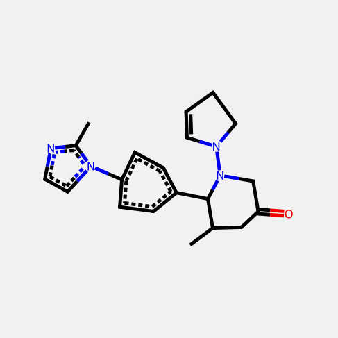 Cc1nccn1-c1ccc(C2C(C)CC(=O)CN2N2C=CCC2)cc1